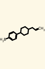 Bc1ccc(C2CCC(CC=C)CC2)cc1